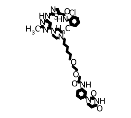 Cc1nc(Nc2ncc(C(=O)Nc3c(C)cccc3Cl)s2)cc(N2CCN(CCCCCCOCCOCC(=O)Nc3cccc(-n4ccc(=O)[nH]c4=O)c3)CC2)n1